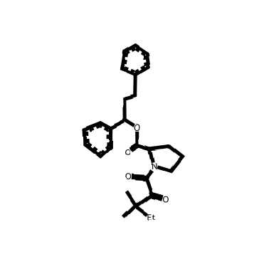 CCC(C)(C)C(=O)C(=O)N1CCCC1C(=O)OC(CCc1ccccc1)c1ccccc1